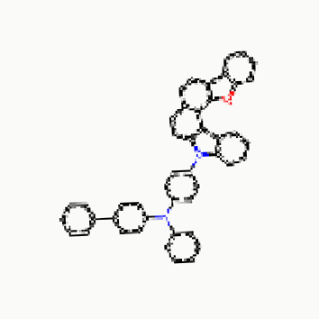 c1ccc(-c2ccc(N(c3ccccc3)c3ccc(-n4c5ccccc5c5c6c(ccc7c8ccccc8oc76)ccc54)cc3)cc2)cc1